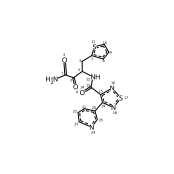 NC(=O)C(=O)C(Cc1cccs1)NC(=O)c1nsnc1-c1cccnc1